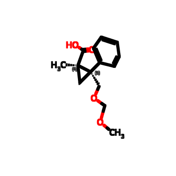 COCOC[C@]1(c2ccccc2)C[C@@]1(C)C(=O)O